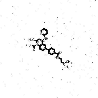 CC(=O)N1c2ccc(-c3ccc(C(=O)NCCN(C)C)cc3)cc2[C@H](Nc2ccccn2)C[C@@H]1C